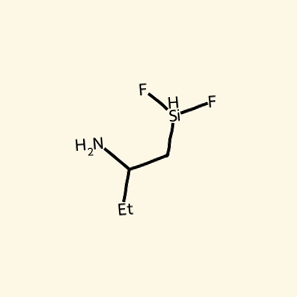 CCC(N)C[SiH](F)F